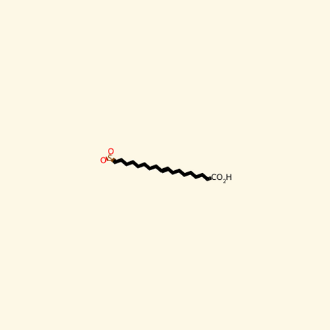 O=C(O)CCCCCCCC=CCCCCCCCC=S(=O)=O